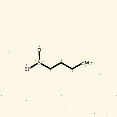 CC[S+]([O-])CCCSC